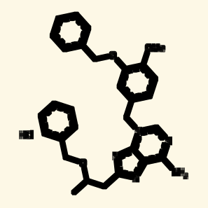 COc1ccc(Cn2cnc(N)c3nc(CC(C)OCc4ccccc4)nc2-3)cc1OCc1ccccc1.Cl